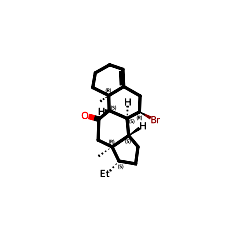 CC[C@H]1CC[C@H]2[C@@H]3[C@H](Br)CC4=CCCC[C@]4(C)[C@H]3C(=O)C[C@]12C